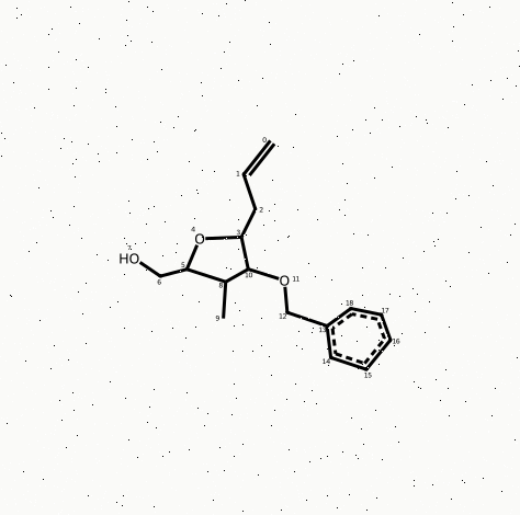 C=CCC1OC(CO)C(C)C1OCc1ccccc1